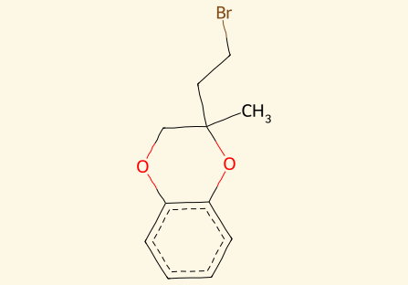 CC1(CCBr)COc2ccccc2O1